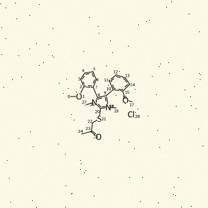 COc1ccccc1-c1c(-c2ccccc2OC)[n+](C)c(SCC(C)=O)n1C.[Cl-]